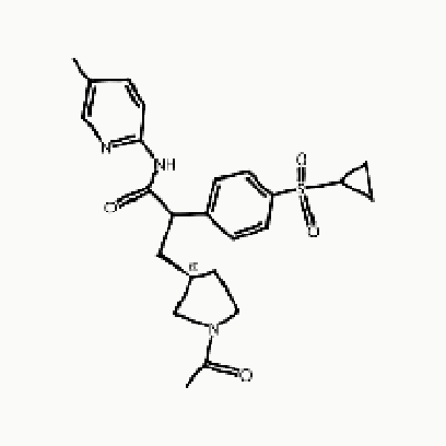 CC(=O)N1CC[C@H](CC(C(=O)Nc2ccc(C)cn2)c2ccc(S(=O)(=O)C3CC3)cc2)C1